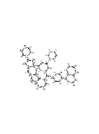 c1ccc(-c2cccc(N(c3ccc(-c4cccc5ccccc45)cc3)c3cccc4oc5cc6nc(-c7ccccc7)oc6cc5c34)c2)cc1